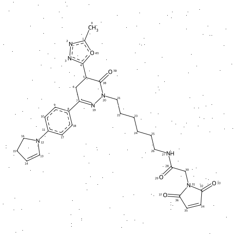 Cc1nnc(C2CC(c3ccc(N4C=CCC4)cc3)=NN(CCCCCCNC(=O)CN3C(=O)C=CC3=O)C2=O)o1